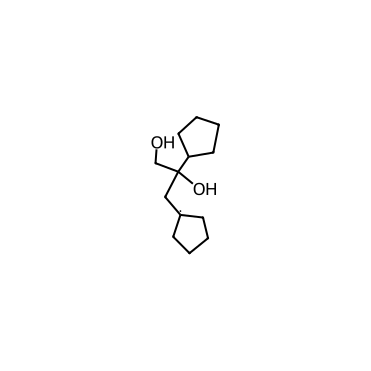 OCC(O)(C[C]1CCCC1)C1CCCC1